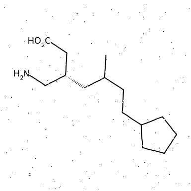 CC(CCC1CCCC1)C[C@H](CN)CC(=O)O